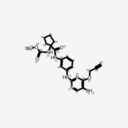 Bc1cnc(Nc2cccc(NC(=O)C3(NC(=O)OC(C)(C)C)CCCC3)c2)nc1OCC#C